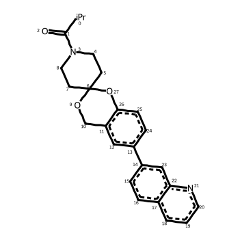 CC(C)C(=O)N1CCC2(CC1)OCc1cc(-c3ccc4cccnc4c3)ccc1O2